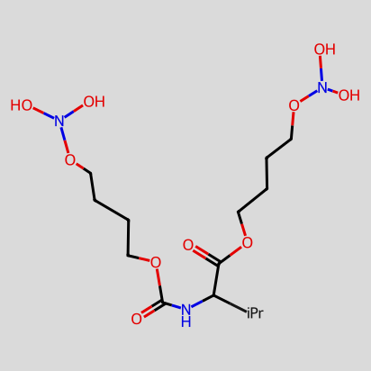 CC(C)C(NC(=O)OCCCCON(O)O)C(=O)OCCCCON(O)O